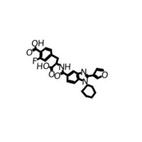 O=C(NC(Cc1ccc(C(=O)O)c(F)c1)C(=O)O)c1ccc2c(c1)nc(-c1ccoc1)n2C1CCCCC1